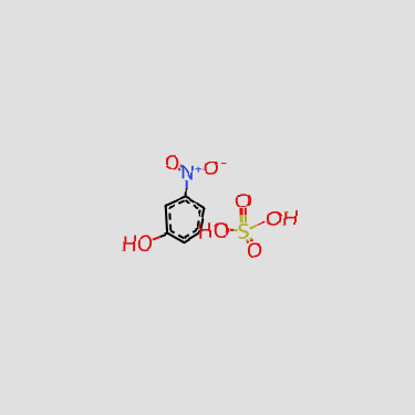 O=S(=O)(O)O.O=[N+]([O-])c1cccc(O)c1